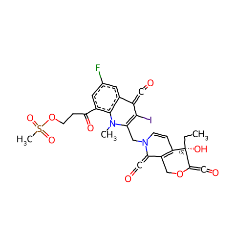 CC[C@@]1(O)C(=C=O)OCC2=C1C=CN(CC1=C(I)C(=C=O)c3cc(F)cc(C(=O)CCOS(C)(=O)=O)c3N1C)C2=C=O